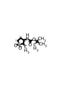 CC1C(NC(=O)OC(C)(C)C)CCS1(=O)=O